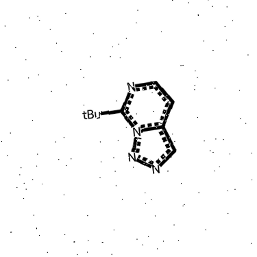 CC(C)(C)c1nccc2cnnn12